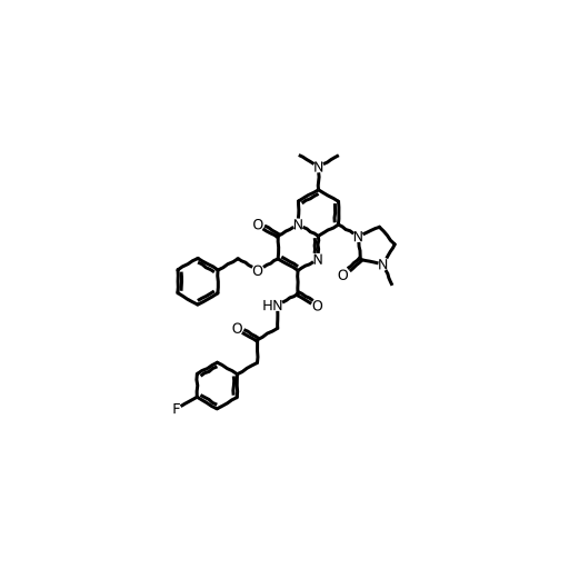 CN1CCN(c2cc(N(C)C)cn3c(=O)c(OCc4ccccc4)c(C(=O)NCC(=O)Cc4ccc(F)cc4)nc23)C1=O